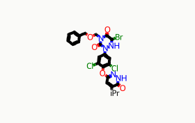 CC(C)c1cc(Oc2c(Cl)cc(N3NC(Br)C(=O)N(COCc4ccccc4)C3=O)cc2Cl)n[nH]c1=O